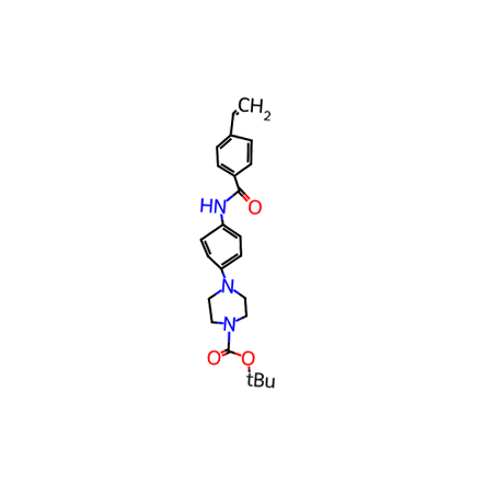 C=Cc1ccc(C(=O)Nc2ccc(N3CCN(C(=O)OC(C)(C)C)CC3)cc2)cc1